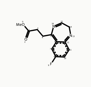 COC(=O)CCC1=c2cc(F)ccc2=NCC=N1